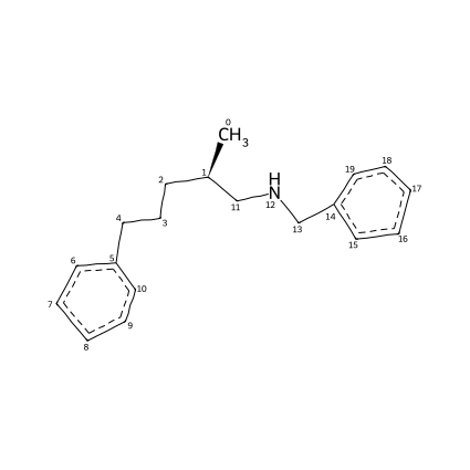 C[C@H](CCCc1ccccc1)CNCc1ccccc1